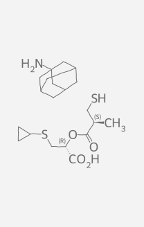 C[C@H](CS)C(=O)O[C@@H](CSC1CC1)C(=O)O.NC12CC3CC(CC(C3)C1)C2